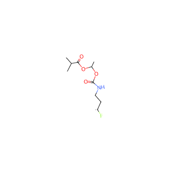 CC(OC(=O)NCC[CH]F)OC(=O)C(C)C